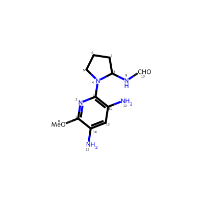 COc1nc(N2CCCC2NC=O)c(N)cc1N